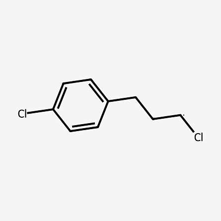 Cl[CH]CCc1ccc(Cl)cc1